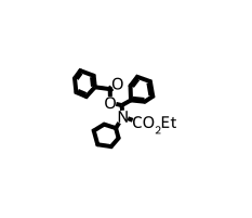 CCOC(=O)N(C1CCCCC1)C(OC(=O)c1ccccc1)c1ccccc1